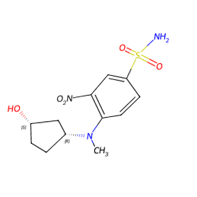 CN(c1ccc(S(N)(=O)=O)cc1[N+](=O)[O-])[C@@H]1CC[C@H](O)C1